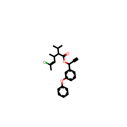 C#CC(OC(=O)C(C(C)C)C(C)C=C(C)Cl)c1cccc(Oc2ccccc2)c1